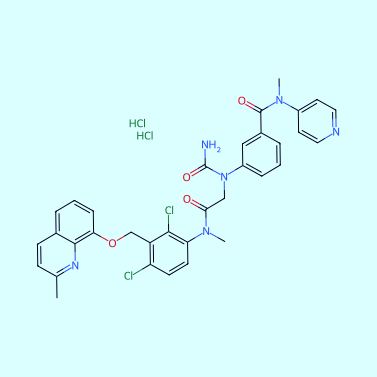 Cc1ccc2cccc(OCc3c(Cl)ccc(N(C)C(=O)CN(C(N)=O)c4cccc(C(=O)N(C)c5ccncc5)c4)c3Cl)c2n1.Cl.Cl